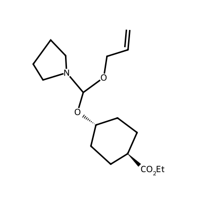 C=CCOC(O[C@H]1CC[C@H](C(=O)OCC)CC1)N1CCCC1